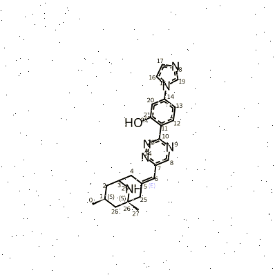 C[C@H]1CC2C/C(=C\c3cnc(-c4ccc(-n5ccnc5)cc4O)nn3)C[C@](C)(C1)N2